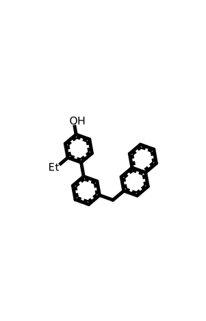 CCc1cc(O)ccc1-c1cccc(Cc2ccc3ccccc3c2)c1